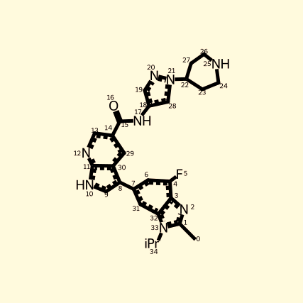 Cc1nc2c(F)cc(-c3c[nH]c4ncc(C(=O)Nc5cnn(C6CCNCC6)c5)cc34)cc2n1C(C)C